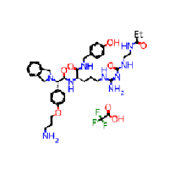 CCC(=O)NCCNC(=O)/N=C(/N)NCCC[C@@H](NC(=O)[C@H](c1ccc(OCCCN)cc1)N1Cc2ccccc2C1)C(=O)NCc1ccc(O)cc1.O=C(O)C(F)(F)F